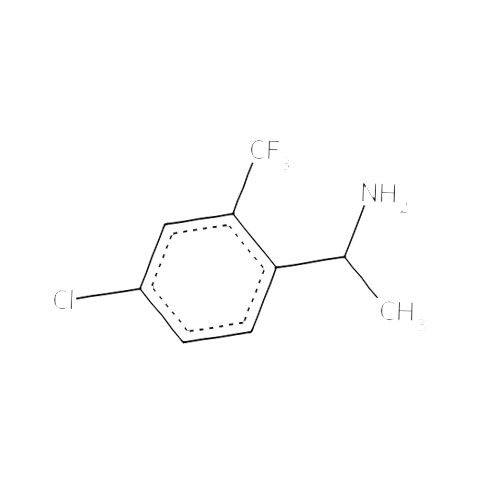 CC(N)c1ccc(Cl)cc1C(F)(F)F